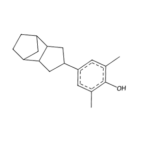 Cc1cc(C2CC3C4CCC(C4)C3C2)cc(C)c1O